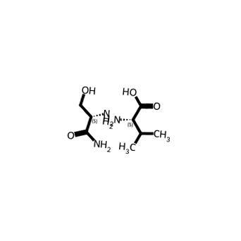 CC(C)[C@H](N)C(=O)O.NC(=O)[C@@H](N)CO